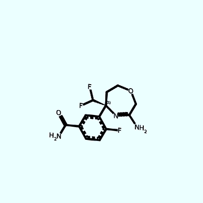 NC(=O)c1ccc(F)c([C@]2(C(F)F)CCOCC(N)=N2)c1